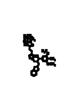 COc1cc(C(O)C(CC2Cc3ccccc3C2)Cn2ccc(CCC(=O)NS(=O)(=O)C(C)(C)C)c2)cc(OC)c1C